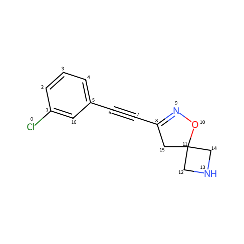 Clc1cccc(C#CC2=NOC3(CNC3)C2)c1